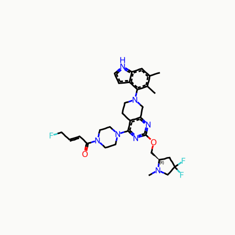 Cc1cc2[nH]ccc2c(N2CCc3c(nc(OC[C@H]4CC(F)(F)CN4C)nc3N3CCN(C(=O)C=CCF)CC3)C2)c1C